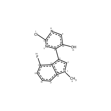 Cn1cc(-c2nc(Cl)ncc2O)c2c(F)cccc21